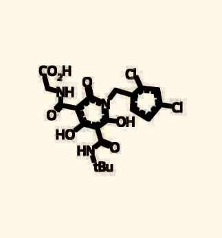 CC(C)(C)NC(=O)c1c(O)c(C(=O)NCC(=O)O)c(=O)n(Cc2ccc(Cl)cc2Cl)c1O